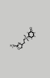 C[Si](C)(CCC1COC(N)=N1)c1cccc(Cl)c1